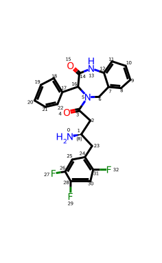 N[C@@H](CC(=O)N1Cc2ccccc2NC(=O)C1c1ccccc1)Cc1cc(F)c(F)cc1F